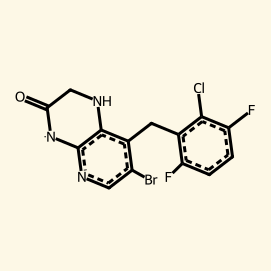 O=C1CNc2c(ncc(Br)c2Cc2c(F)ccc(F)c2Cl)[N]1